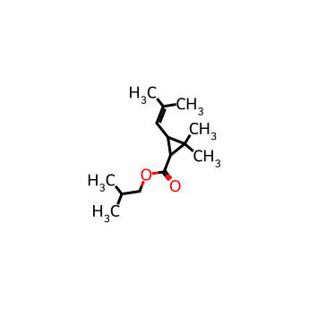 CC(C)=CC1C(C(=O)OCC(C)C)C1(C)C